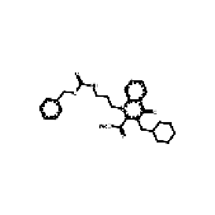 COC(=O)c1c(CC2CCCCC2)c(=O)c2ccccc2n1CCCNC(=O)OCc1ccccc1